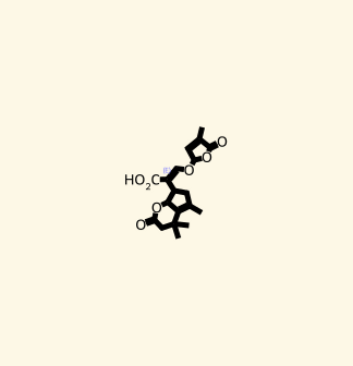 CC1=CC(O/C=C(/C(=O)O)C2CC(C)=C3C2OC(=O)CC3(C)C)OC1=O